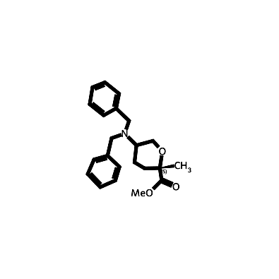 COC(=O)[C@]1(C)CCC(N(Cc2ccccc2)Cc2ccccc2)CO1